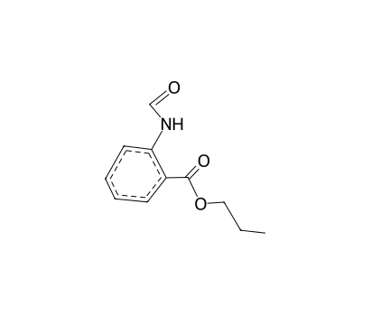 CCCOC(=O)c1ccccc1NC=O